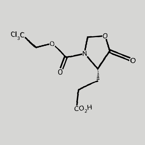 O=C(O)CC[C@H]1C(=O)OCN1C(=O)OCC(Cl)(Cl)Cl